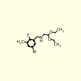 CCOC(CNCc1cc(Br)cc(C)c1F)OCC